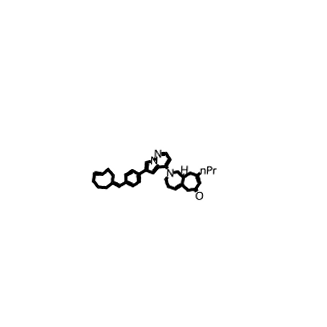 CCCC1=CC(=O)CC2=CCCN(c3ccnn4cc(-c5ccc(/C=C6\CC/C=C/CCC6)cc5)cc34)C[C@H]2C1